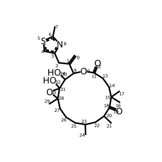 C=C(Cc1csc(C)n1)C1OC(=O)CCC(C)(C)C(=O)C(C)CC(C)CCCC2(C)OC2(O)C1O